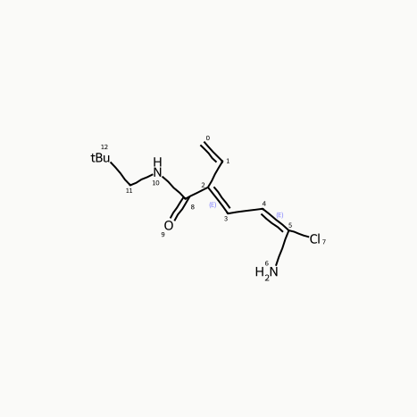 C=C/C(=C\C=C(/N)Cl)C(=O)NCC(C)(C)C